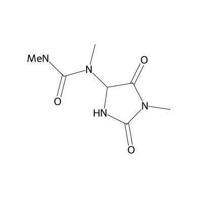 CNC(=O)N(C)C1NC(=O)N(C)C1=O